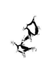 Nc1n[nH]c(N)c1N=Nc1ccc(F)cc1Cl